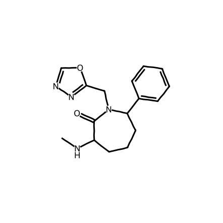 CNC1CCCC(c2ccccc2)N(Cc2nnco2)C1=O